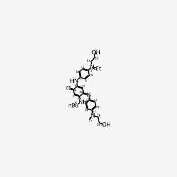 CCCCNC1=CC(=O)C(Nc2ccc(N(CC)CCO)cc2)=C/C1=N/c1ccc(N(C)CCO)cc1